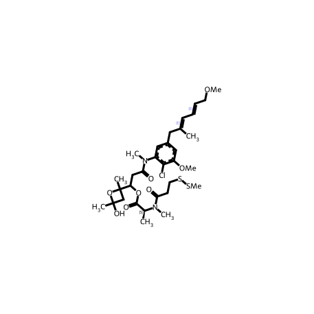 COC/C=C/C=C(\C)Cc1cc(OC)c(Cl)c(N(C)C(=O)CC(OC(=O)[C@H](C)N(C)C(=O)CCSSC)C2(C)CC(C)(O)O2)c1